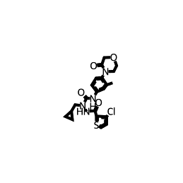 Cc1cc(NC(=O)N(CC2CC2)NC(=O)c2sccc2Cl)ccc1N1CCOCC1=O